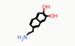 NCCc1ccc2cc(O)c(O)cc2c1